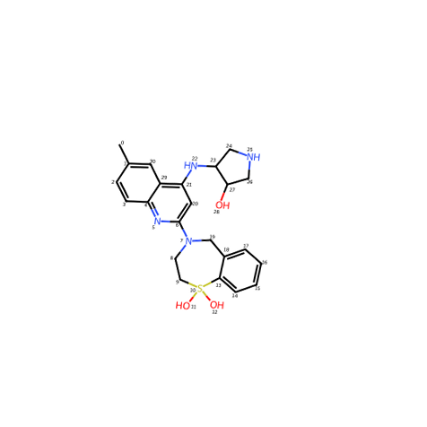 Cc1ccc2nc(N3CCS(O)(O)c4ccccc4C3)cc(NC3CNCC3O)c2c1